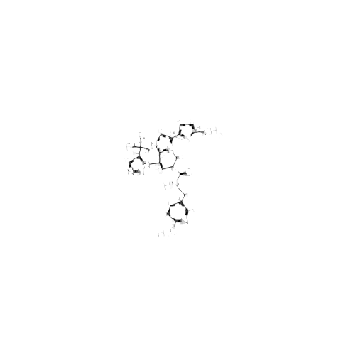 Cc1ccc(CNC(=O)[C@H]2C=C(n3nncc3C(F)(F)F)c3ncc(-c4ccc(C)s4)n3C2)cn1